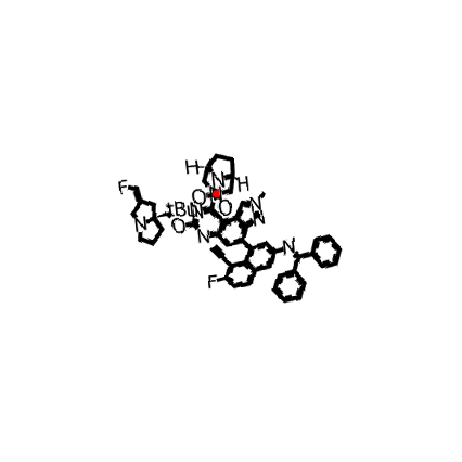 C#Cc1c(F)ccc2cc(N=C(c3ccccc3)c3ccccc3)cc(-c3cc4nc(OC[C@@]56CCCN5C/C(=C\F)C6)nc(N5C[C@H]6CC[C@@H](C5)N6C(=O)OC(C)(C)C)c4c4cn(C)nc34)c12